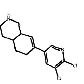 Clc1cc(C2=CC3CNCCC3CC2)cnc1Cl